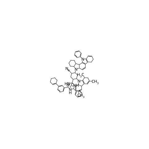 CC1=CC2C3=C(C(C)CC(C)=C3)N(C3CC(N4C5C=Cc6c7c(n(-c8ccccc8)c6C5C5CCCCC54)C=CCC7)C(C#N)CC3C3NC(c4ccccc4)NC(c4cccc(C5=CCCCC5)c4)N3)C2C(C)=C1